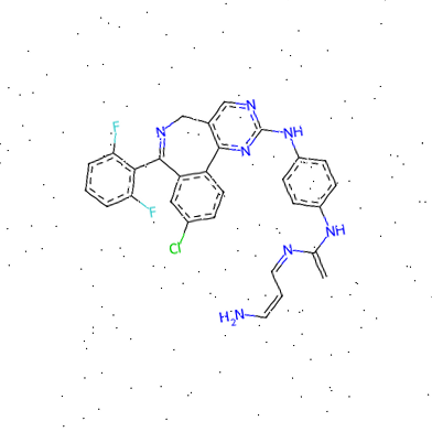 C=C(/N=C\C=C/N)Nc1ccc(Nc2ncc3c(n2)-c2ccc(Cl)cc2C(c2c(F)cccc2F)=NC3)cc1